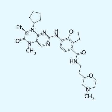 CC[C@@H]1C(=O)N(C)c2cnc(Nc3ccc(C(=O)NCCC4CN(C)CCO4)c4c3OCC4)nc2N1C1CCCC1